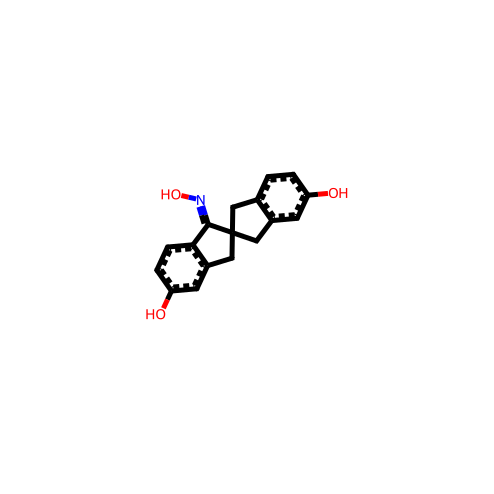 ON=C1c2ccc(O)cc2CC12Cc1ccc(O)cc1C2